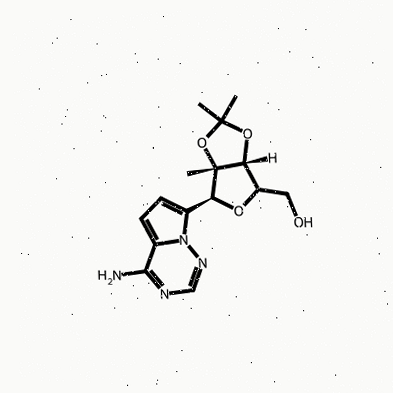 CC1(C)O[C@@H]2C(CO)O[C@@H](c3ccc4c(N)ncnn34)[C@]2(C)O1